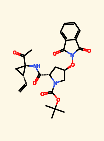 C=C[C@@H]1C[C@]1(NC(=O)[C@@H]1C[C@@H](ON2C(=O)c3ccccc3C2=O)CN1C(=O)OC(C)(C)C)C(C)=O